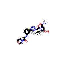 CNC(=O)C1CC(O)CN1C(=O)[C@@H](n1cc(-c2cccc(NCC(=O)N3CCOCC3)c2)nn1)C(C)(C)C